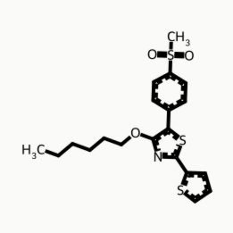 CCCCCCOc1nc(-c2cccs2)sc1-c1ccc(S(C)(=O)=O)cc1